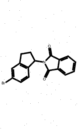 O=C1c2ccccc2C(=O)N1C1CCc2cc(Br)ccc21